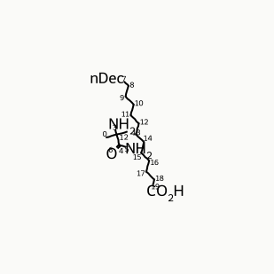 CC(C)(N)C(N)=O.CCCCCCCCCCCCCCCCCCCCCC(=O)O